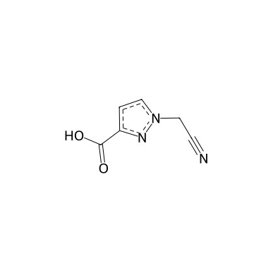 N#CCn1ccc(C(=O)O)n1